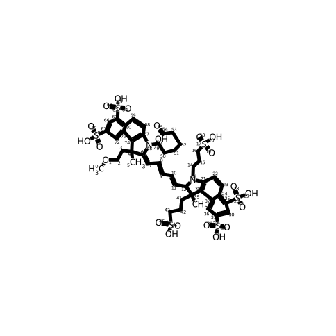 COCCC1(C)C(=CC=CC=CC2N(CCCS(=O)(=O)O)c3ccc4c(S(=O)(=O)O)cc(S(=O)(=O)O)cc4c3C2(C)CCCS(=O)(=O)O)N(CCCCCC(=O)O)c2ccc3c(S(=O)(=O)O)cc(S(=O)(=O)O)cc3c21